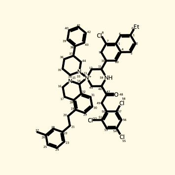 CCc1ccc2c(c1)=C(Cl)CC(C1C[N+](C3[N]CCc4c(CCc5cccc(C)c5)cccc43)(N3CCCC(c4ccccc4)C3)CC(C(=O)Cc3c(Cl)cc(Cl)cc3Cl)N1)C=2